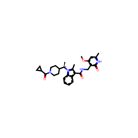 COc1cc(C)[nH]c(=O)c1CNC(=O)c1c(C)n([C@H](C)C2CCN(C(=O)C3CC3)CC2)c2ccccc12